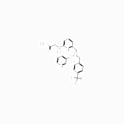 O=C(O)CNc1cccc(CN(Cc2ccc(C(F)(F)F)cc2)S(=O)(=O)c2cccnc2)n1